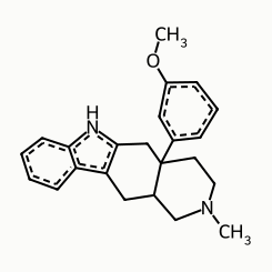 COc1cccc(C23CCN(C)CC2Cc2c([nH]c4ccccc24)C3)c1